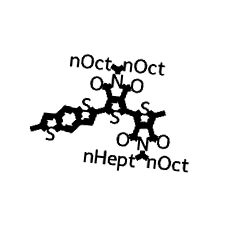 CCCCCCCCC(CCCCCCC)N1C(=O)c2c(C)sc(-c3sc(-c4cc5cc6sc(C)cc6cc5s4)c4c3C(=O)N(C(CCCCCCCC)CCCCCCCC)C4=O)c2C1=O